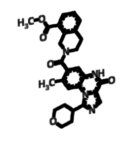 COC(=O)c1cccc2c1CN(C(=O)c1cc3[nH]c(=O)c4cnc(C5CCOCC5)n4c3cc1C)CC2